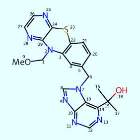 COCN1c2cc(Cn3cnc4ncnc(C(C)(C)O)c43)ccc2Sc2nccnc21